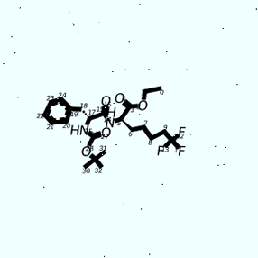 CCOC(=O)[C@@H](CCCCC(F)(F)F)NC(=O)[C@@H](Cc1ccccc1)NC(=O)OC(C)(C)C